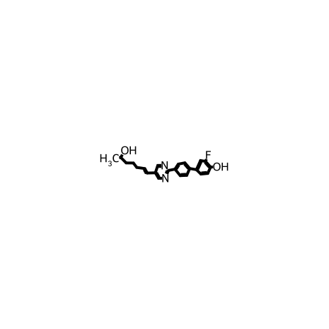 CC(O)CCC/C=C/c1cnc(-c2ccc(-c3ccc(O)c(F)c3)cc2)nc1